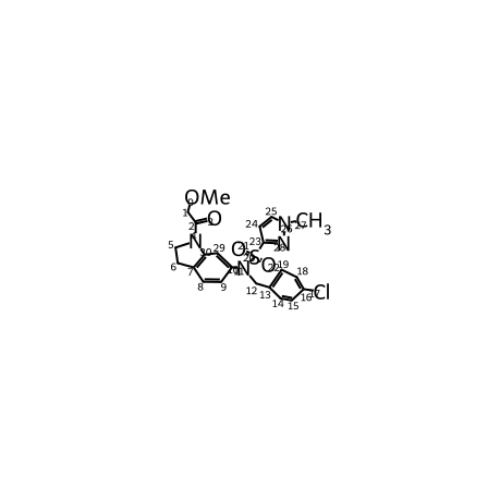 COCC(=O)N1CCc2ccc(N(Cc3ccc(Cl)cc3)S(=O)(=O)c3ccn(C)n3)cc21